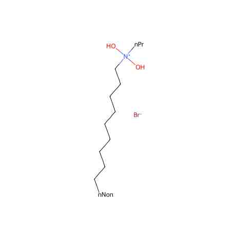 CCCCCCCCCCCCCCCCCC[N+](O)(O)CCC.[Br-]